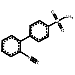 [C-]#[N+]c1ccccc1-c1ccc(S(C)(=O)=O)cc1